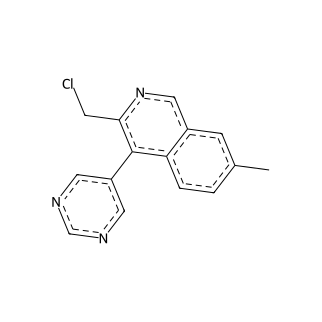 Cc1ccc2c(-c3cncnc3)c(CCl)ncc2c1